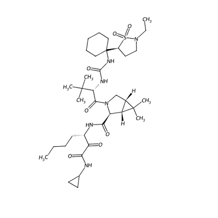 CCCC[C@H](NC(=O)[C@@H]1[C@@H]2[C@H](CN1C(=O)[C@@H](NC(=O)NC1([C@@H]3CCN(CC)S3(=O)=O)CCCCC1)C(C)(C)C)C2(C)C)C(=O)C(=O)NC1CC1